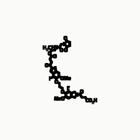 COc1cc2c(c(F)c1OCCCOc1c(OC)cc3sc(C(=O)CCC(=O)O[C@H](C)CNC(=O)CN4C(=O)C=CC4=O)cc3c1F)CN(C(=O)CCC(=O)O)C2